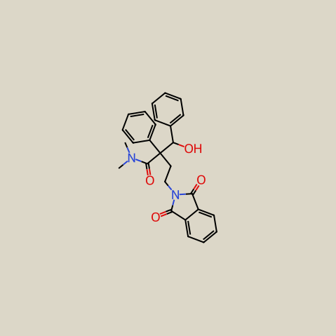 CN(C)C(=O)C(CCN1C(=O)c2ccccc2C1=O)(c1ccccc1)C(O)c1ccccc1